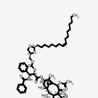 CCCCCCCC/C=C\CCCCCCC[C@@H]1OC[C@H](COC(=O)O[C@@H](C(=O)O[C@H]2C[C@@]3(O)[C@@H](O)C4[C@]5(O)CO[C@@H]5C[C@H](O)[C@@]4(C)C(=O)[C@H](OC(C)=O)C(=C2C)C3(C)C)[C@@H](NC(=O)c2ccccc2)c2ccccc2)O1